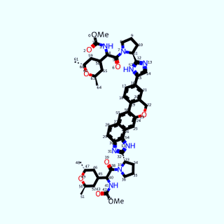 COC(=O)NC(C(=O)N1CCC[C@H]1c1ncc(-c2ccc3c(c2)COc2cc4c(ccc5nc([C@@H]6CCCN6C(=O)C(NC(=O)OC)C6C[C@@H](C)O[C@H](C)C6)[nH]c54)cc2-3)[nH]1)C1C[C@@H](C)O[C@H](C)C1